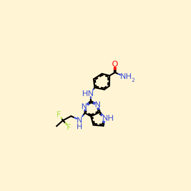 CC(F)(F)CNc1nc(Nc2ccc(C(N)=O)cc2)nc2[nH]ccc12